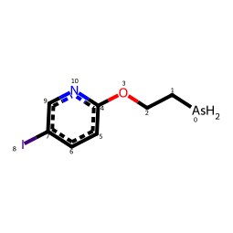 [AsH2]CCOc1ccc(I)cn1